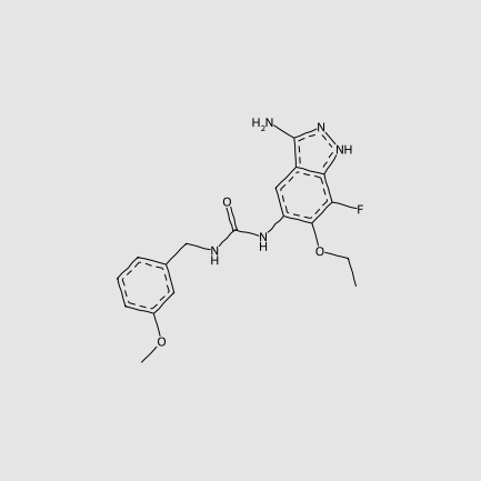 CCOc1c(NC(=O)NCc2cccc(OC)c2)cc2c(N)n[nH]c2c1F